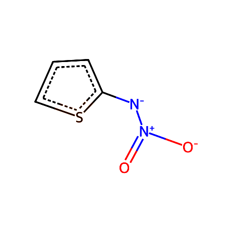 O=[N+]([O-])[N-]c1cccs1